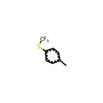 Cc1ccc(SC(F)(F)F)cc1